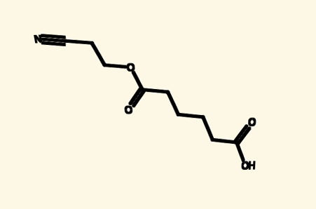 N#CCCOC(=O)CCCCC(=O)O